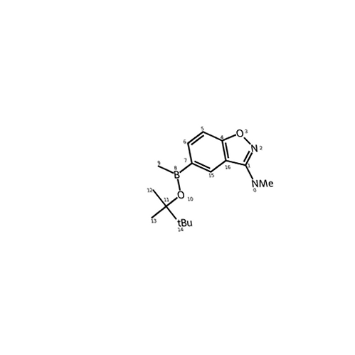 CNc1noc2ccc(B(C)OC(C)(C)C(C)(C)C)cc12